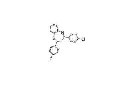 Fc1ccc(C2CC(c3ccc(Cl)cc3)=Nc3ccccc3S2)cc1